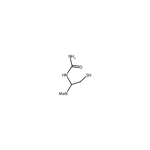 CNC(CS)NC(N)=O